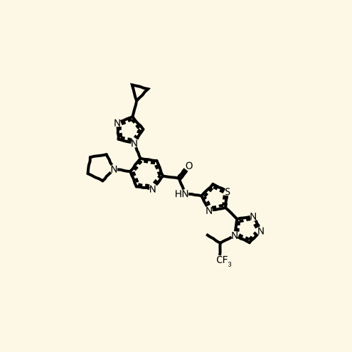 CC(n1cnnc1-c1nc(NC(=O)c2cc(-n3cnc(C4CC4)c3)c(N3CCCC3)cn2)cs1)C(F)(F)F